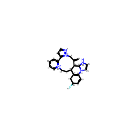 C=C1Cn2nccc2-c2cccc[n+]2CCC2C3=C(C=CC(F)C3)N3C=CNC3C12